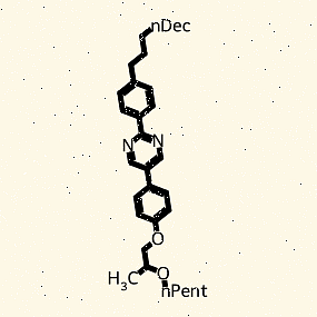 CCCCCCCCCCCCCc1ccc(-c2ncc(-c3ccc(OCC(C)OCCCCC)cc3)cn2)cc1